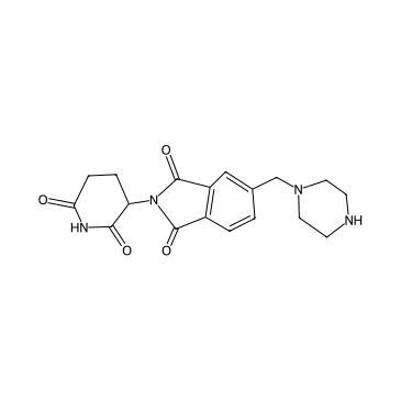 O=C1CCC(N2C(=O)c3ccc(CN4CCNCC4)cc3C2=O)C(=O)N1